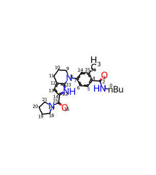 CCCCNC(=O)c1ccc(N2CCCc3cc(C(=O)N4CCCC4)[nH]c32)cc1C